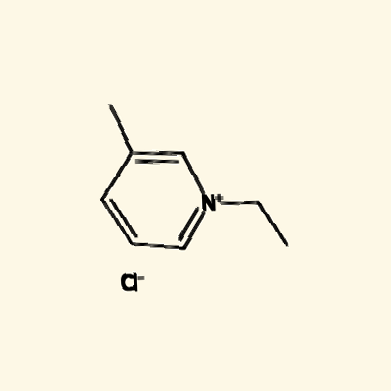 CC[n+]1cccc(C)c1.[Cl-]